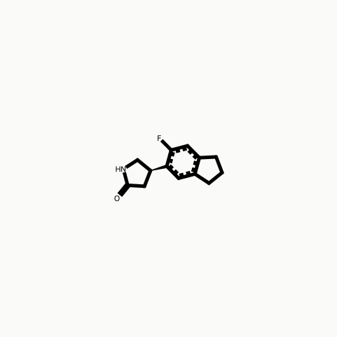 O=C1C[C@H](c2cc3c(cc2F)CCC3)CN1